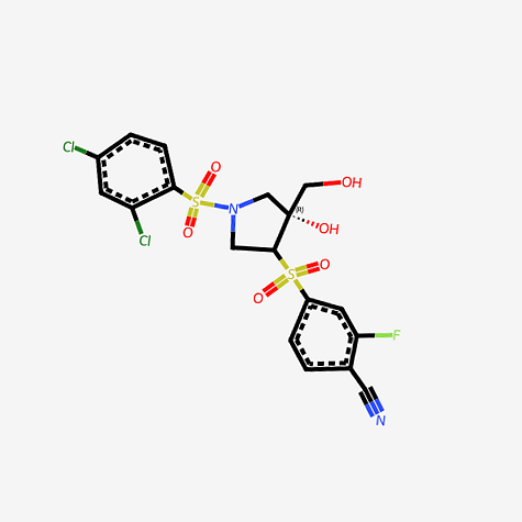 N#Cc1ccc(S(=O)(=O)C2CN(S(=O)(=O)c3ccc(Cl)cc3Cl)C[C@@]2(O)CO)cc1F